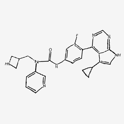 O=C(Nc1ccc(-c2ncnc3[nH]cc(C4CC4)c23)c(F)c1)N(CC1CNC1)c1cccnc1